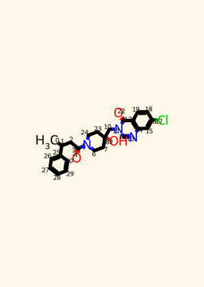 CC(CC(=O)N1CCC(O)(Cn2cnc3cc(Cl)ccc3c2=O)CC1)c1ccccc1